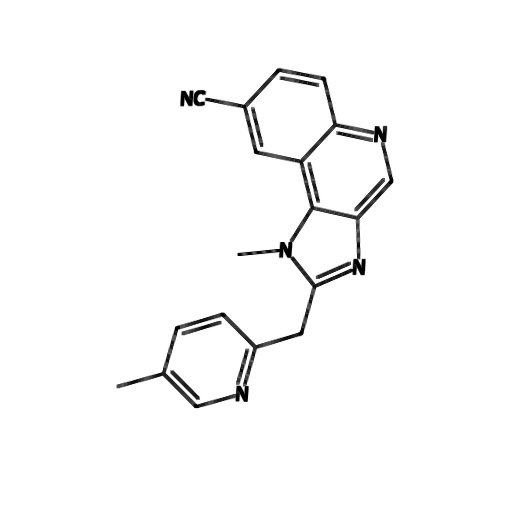 Cc1ccc(Cc2nc3cnc4ccc(C#N)cc4c3n2C)nc1